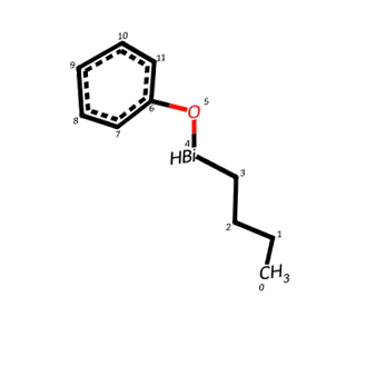 CCC[CH2][BiH][O]c1ccccc1